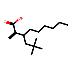 C=C(C(=O)O)C(CCCCCC)CC(C)(C)C